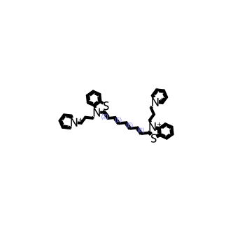 C(/C=C/C=C/C=C/c1sc2ccccc2[n+]1CCC[n+]1ccccc1)=C1/Sc2ccccc2N1CCC[n+]1ccccc1